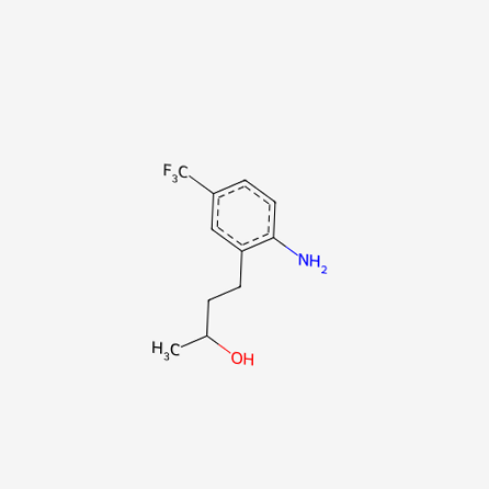 CC(O)CCc1cc(C(F)(F)F)ccc1N